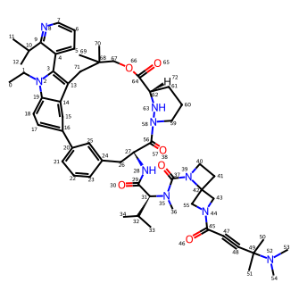 CCn1c(-c2cccnc2C(C)C)c2c3cc(ccc31)-c1cccc(c1)C[C@H](NC(=O)[C@H](C(C)C)N(C)C(=O)N1CCC13CN(C(=O)C#CC(C)(C)N(C)C)C3)C(=O)N1CCC[C@H](N1)C(=O)OCC(C)(C)C2